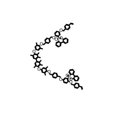 C=Cc1ccc(COc2ccc(OCc3ccc(COc4c(C)cc(Oc5c(C)cc(-c6cc(C)c(Oc7cc(C)c(OCc8ccc(COc9ccc(OCc%10ccc(C=C)cc%10)c(P%10(=O)Oc%11ccccc%11-c%11ccccc%11%10)c9)cc8)c(C)c7)c(C)c6C)c(C)c5C)cc4C)cc3)c(P3(=O)Oc4ccccc4-c4ccccc43)c2)cc1